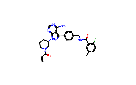 C=CC(=O)N1CCC[C@@H](n2nc(-c3ccc(CNC(=O)c4cc(C)ccc4F)cc3)c3c(N)ncnc32)C1